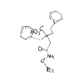 CCONC(=O)CC(Cc1ccccc1)(Cc1ccccc1)C(=O)O